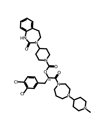 CN1CCC(N2CCCN(C(=O)[C@@H](Cc3ccc(Cl)c(Cl)c3)OC(=O)N3CCC(N4CCc5ccccc5NC4=O)CC3)CC2)CC1